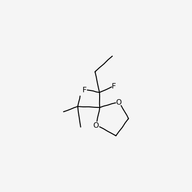 CCC(F)(F)C1(C(C)(C)C)OCCO1